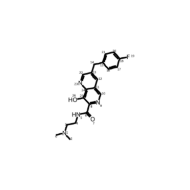 CN(C)CCNC(=O)c1ncc2cc(Cc3ccc(F)cc3)cnc2c1O